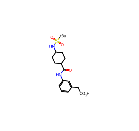 CC(C)(C)S(=O)(=O)NC1CCC(C(=O)Nc2cccc(CC(=O)O)c2)CC1